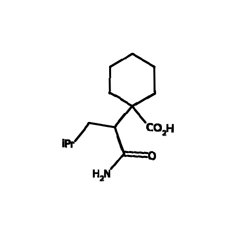 CC(C)CC(C(N)=O)C1(C(=O)O)CCCCC1